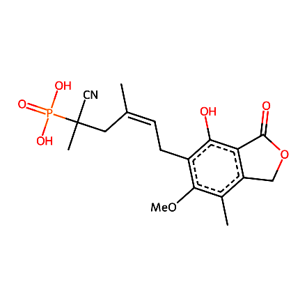 COc1c(C)c2c(c(O)c1CC=C(C)CC(C)(C#N)P(=O)(O)O)C(=O)OC2